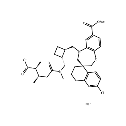 COC(=O)c1ccc2c(c1)N(C[C@@H]1CC[C@H]1CN(C)C(=O)C[C@@H](C)[C@H](C)S(=O)[O-])C[C@@]1(CCCc3cc(Cl)ccc31)CO2.[Na+]